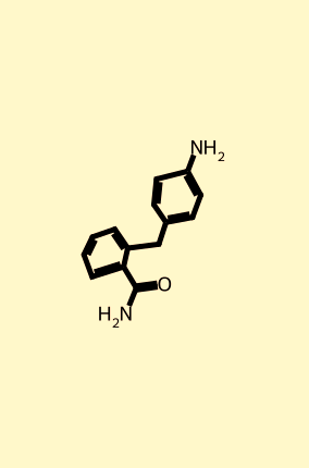 NC(=O)c1ccccc1Cc1ccc(N)cc1